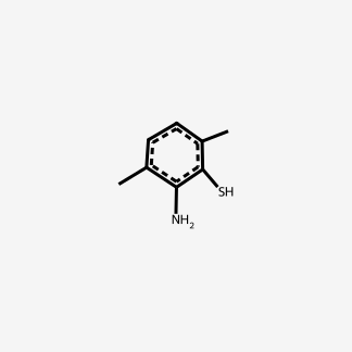 Cc1ccc(C)c(S)c1N